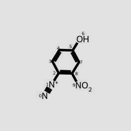 N#[N+]c1ccc(O)cc1[N+](=O)[O-]